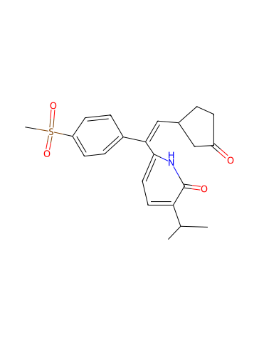 CC(C)c1ccc(/C(=C\C2CCC(=O)C2)c2ccc(S(C)(=O)=O)cc2)[nH]c1=O